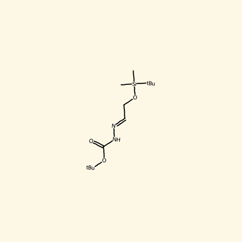 CC(C)(C)OC(=O)N/N=C/CO[Si](C)(C)C(C)(C)C